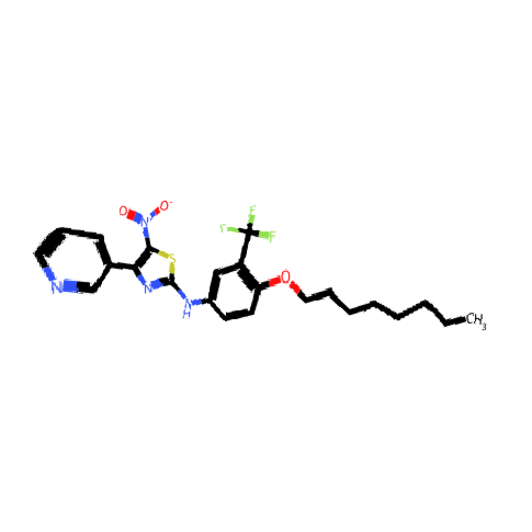 CCCCCCCCOc1ccc(Nc2nc(-c3cccnc3)c([N+](=O)[O-])s2)cc1C(F)(F)F